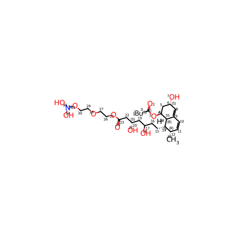 CC[C@H](C)C(=O)O[C@H]1C[C@H](O)C=C2C=C[C@H](C)[C@H](CCC(O)C[C@H](O)CC(=O)OCCOCCON(O)O)[C@H]21